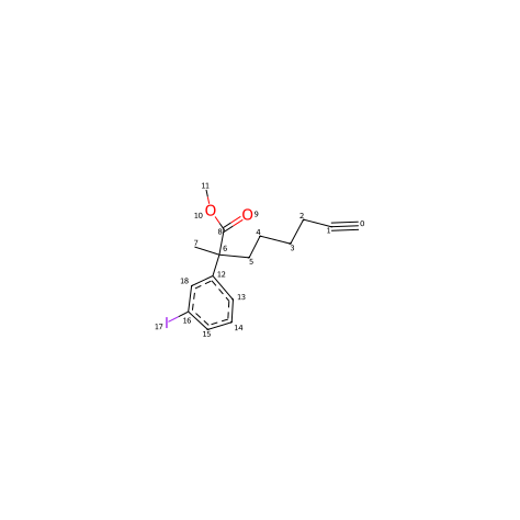 C#CCCCCC(C)(C(=O)OC)c1cccc(I)c1